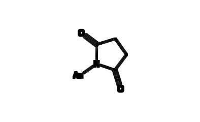 O=C1CCC(=O)[N]1[Au]